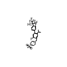 CC(C)c1cc(CN2CCN(S(C)(=O)=O)CC2)c(F)cc1-c1ccc(C(O)(C(F)(F)F)C(F)(F)F)cc1